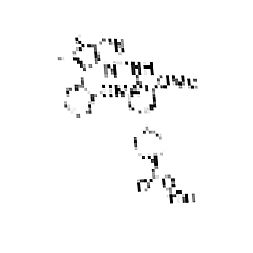 COc1cc(C2CCN(C(=O)OC(C)(C)C)CC2)ccc1Nc1ncc2sc(C)c(-c3ccccc3OC)c2n1